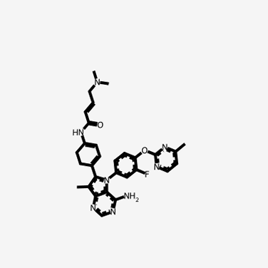 Cc1ccnc(Oc2ccc(-n3c(C4=CC=C(NC(=O)C=CCN(C)C)CC4)c(C)c4ncnc(N)c43)cc2F)n1